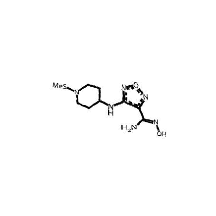 CSN1CCC(Nc2nonc2/C(N)=N/O)CC1